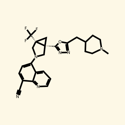 CN1CCC(Cc2nnc([C@]34CN(c5ccc(C#N)c6ncccc56)C[C@@]3(C(F)(F)F)C4)o2)CC1